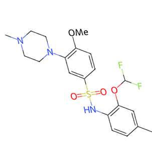 COc1ccc(S(=O)(=O)Nc2ccc(C)cc2OC(F)F)cc1N1CCN(C)CC1